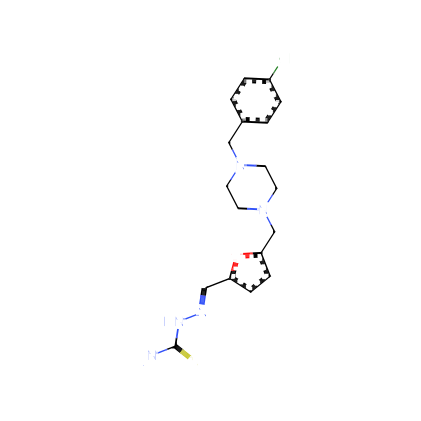 NC(=S)N/N=C/c1ccc(CN2CCN(Cc3ccc(Cl)cc3)CC2)o1